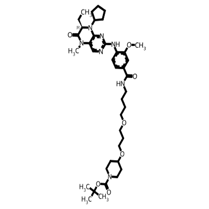 CC[C@@H]1C(=O)N(C)c2cnc(Nc3ccc(C(=O)NCCCCOCCCOC4CCN(C(=O)OC(C)(C)C)CC4)cc3OC)nc2N1C1CCCC1